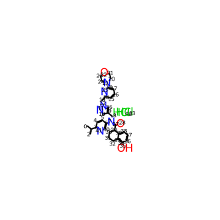 CC(C)c1ccc(N(Cc2cnn(Cc3cccc(N4CCOCC4)n3)c2)C(=O)C2CCCc3c(O)cccc32)cn1.Cl.Cl